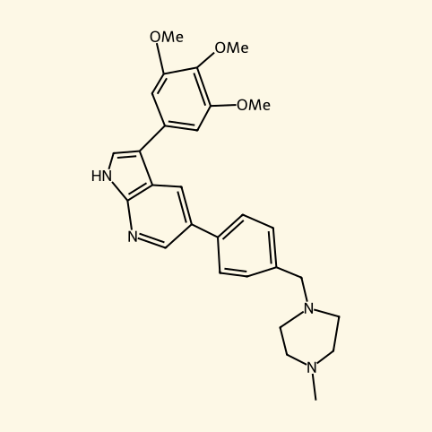 COc1cc(-c2c[nH]c3ncc(-c4ccc(CN5CCN(C)CC5)cc4)cc23)cc(OC)c1OC